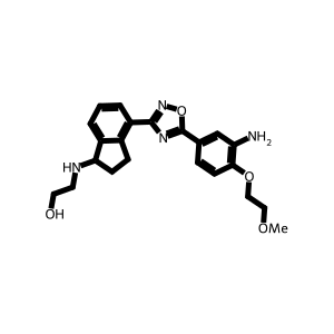 COCCOc1ccc(-c2nc(-c3cccc4c3CCC4NCCO)no2)cc1N